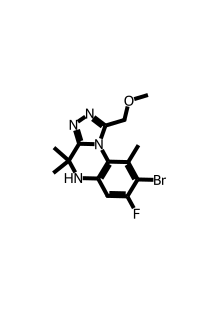 COCc1nnc2n1-c1c(cc(F)c(Br)c1C)NC2(C)C